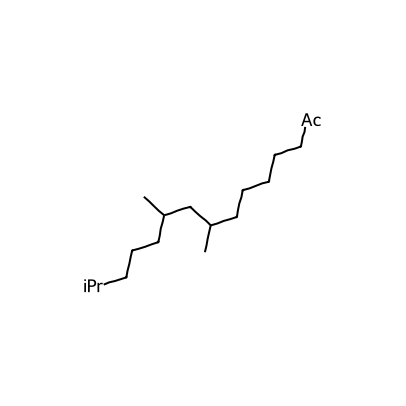 CC(=O)CCCCCC(C)CC(C)CCCC(C)C